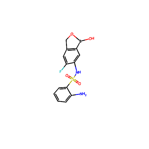 Nc1ccccc1S(=O)(=O)Nc1cc2c(cc1F)COB2O